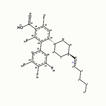 CCCC/C=C/[C@H]1CC[C@H](c2cc(F)c(C(=O)O)c(F)c2-c2cc(F)c(F)c(F)c2)CC1